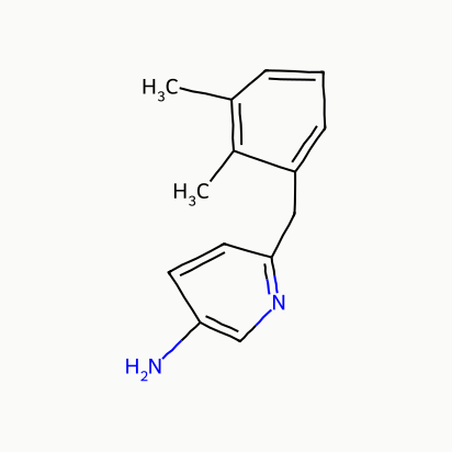 Cc1cccc(Cc2ccc(N)cn2)c1C